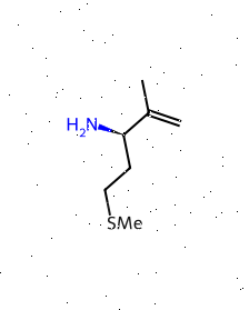 C=C(C)[C@H](N)CCSC